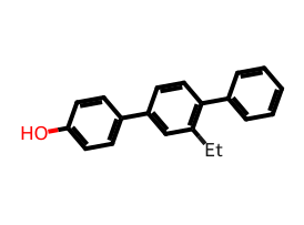 CCc1cc(-c2ccc(O)cc2)ccc1-c1ccccc1